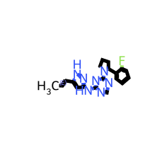 C/C=C/c1cc(Nc2ncnc(N3CCCC3c3ccccc3F)n2)n[nH]1